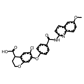 COc1ccc2nc(NC(=O)c3ccc(Oc4cc5c(cc4Cl)C(C(=O)O)CCO5)cc3)ccc2c1